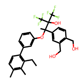 CCc1c(-c2cccc(OC(C)(c3ccc(CO)c(CO)c3)C(O)(C(F)(F)F)C(F)(F)F)c2)ccc(C)c1C